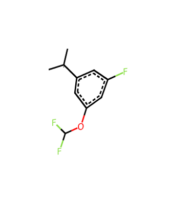 C[C](C)c1cc(F)cc(OC(F)F)c1